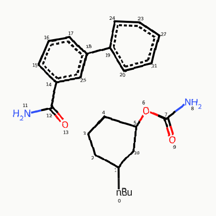 CCCCC1CCCC(OC(N)=O)C1.NC(=O)c1cccc(-c2ccccc2)c1